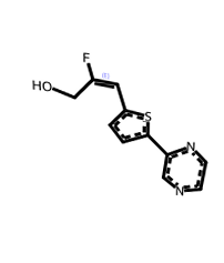 OC/C(F)=C\c1ccc(-c2cnccn2)s1